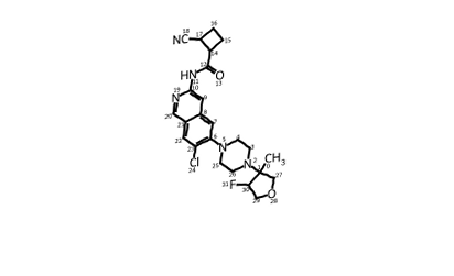 CC1(N2CCN(c3cc4cc(NC(=O)C5CCC5C#N)ncc4cc3Cl)CC2)COCC1F